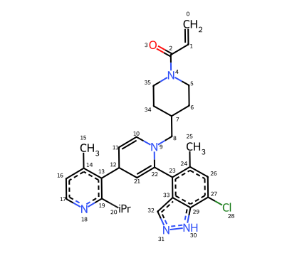 C=CC(=O)N1CCC(CN2C=CC(c3c(C)ccnc3C(C)C)C=C2c2c(C)cc(Cl)c3[nH]ncc23)CC1